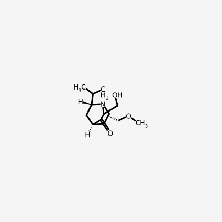 COC[C@]1(CO)C(=O)[C@H]2CCN1[C@@H](C(C)C)C2